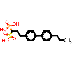 CCCc1ccc(-c2ccc(CCC(P(=O)(O)O)S(=O)(=O)O)cc2)cc1